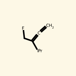 C=C=C(CF)C(C)C